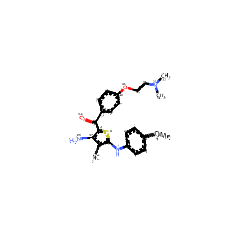 [C-]#[N+]c1c(Nc2ccc(OC)cc2)sc(C(=O)c2ccc(OCCN(C)C)cc2)c1N